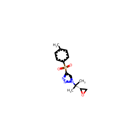 Cc1ccc(S(=O)(=O)c2cn(C(C)(C)[C@@H]3CO3)nn2)cc1